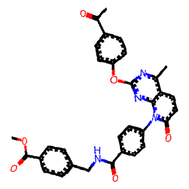 COC(=O)c1ccc(CNC(=O)c2ccc(-n3c(=O)ccc4c(C)nc(Oc5ccc(C(C)=O)cc5)nc43)cc2)cc1